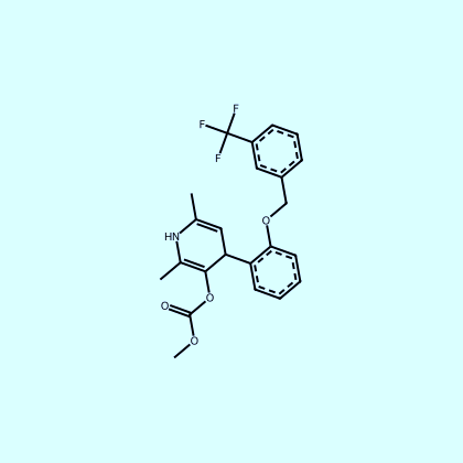 COC(=O)OC1=C(C)NC(C)=CC1c1ccccc1OCc1cccc(C(F)(F)F)c1